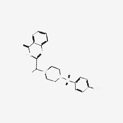 CCC(c1nc2ccccc2c(=O)[nH]1)N1CCN(S(=O)(=O)c2ccc(OC)cc2)CC1